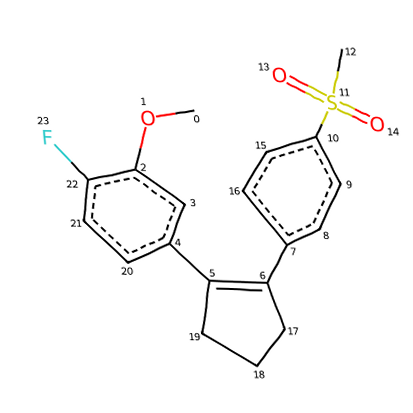 COc1cc(C2=C(c3ccc(S(C)(=O)=O)cc3)CCC2)ccc1F